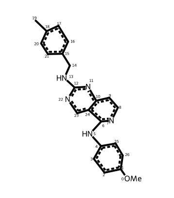 COc1ccc(Nc2nccc3nc(NCc4ccc(C)cc4)ncc23)cc1